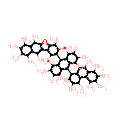 Bc1c(-c2c3c(B)c(B)c(B)c(B)c3c(-c3c(B)c(B)c(B)c4c3c(B)c(B)c3c(B)c(B)c(B)c(B)c34)c3c(B)c(B)c(B)c(B)c23)c(B)c2c(oc3c(B)c4c(B)c(B)c(B)c(B)c4c(B)c32)c1B